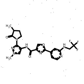 CC1CCN(c2nn(C)cc2NC(=O)c2coc(-c3ccnc(NCC(F)(F)F)c3)n2)C1=O